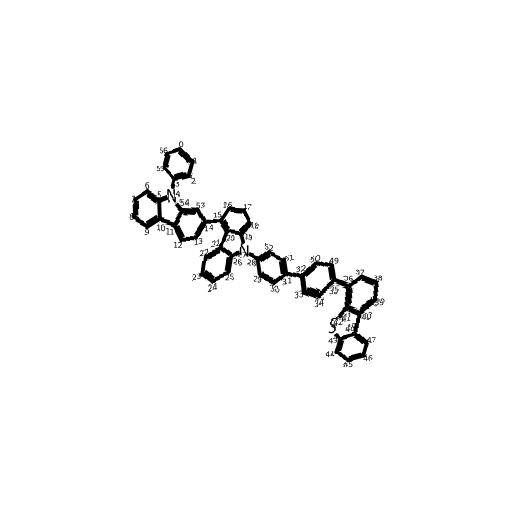 c1ccc(-n2c3ccccc3c3ccc(-c4cccc5c4c4ccccc4n5-c4ccc(-c5ccc(-c6cccc7c6sc6ccccc67)cc5)cc4)cc32)cc1